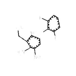 CC(=O)OCc1cccc([N+](=O)[O-])c1N.O=C(O)c1c(F)cccc1F